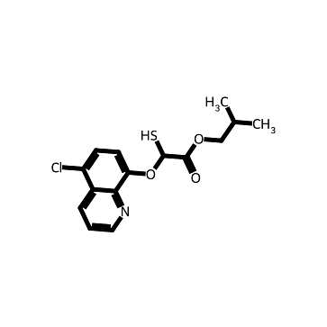 CC(C)COC(=O)C(S)Oc1ccc(Cl)c2cccnc12